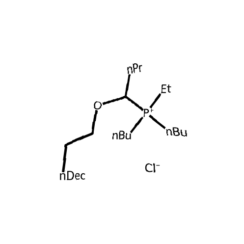 CCCCCCCCCCCCOC(CCC)[P+](CC)(CCCC)CCCC.[Cl-]